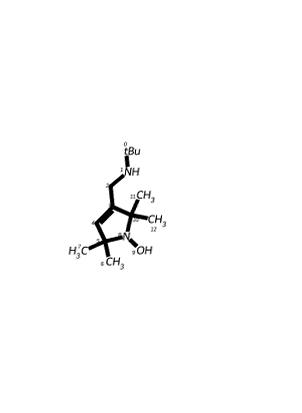 CC(C)(C)NCC1=CC(C)(C)N(O)C1(C)C